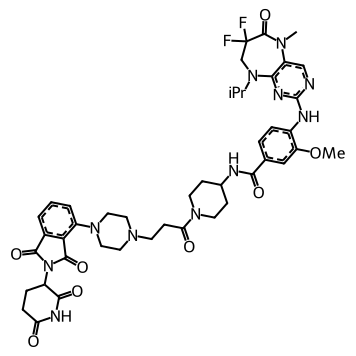 COc1cc(C(=O)NC2CCN(C(=O)CCN3CCN(c4cccc5c4C(=O)N(C4CCC(=O)NC4=O)C5=O)CC3)CC2)ccc1Nc1ncc2c(n1)N(C(C)C)CC(F)(F)C(=O)N2C